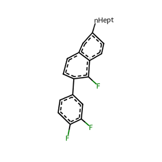 CCCCCCCc1ccc2c(F)c(-c3ccc(F)c(F)c3)ccc2c1